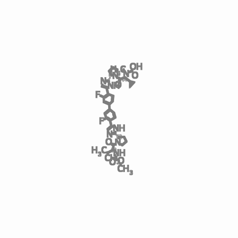 COC(=O)N[C@H](C(=O)N1CCC[C@H]1c1ncc(-c2ccc(-c3ccc(-c4cnc([C@@H]5CCCN5C(=O)[C@H](C5CC5)N(C)C(=O)O)[nH]4)c(F)c3)cc2F)[nH]1)C(C)C